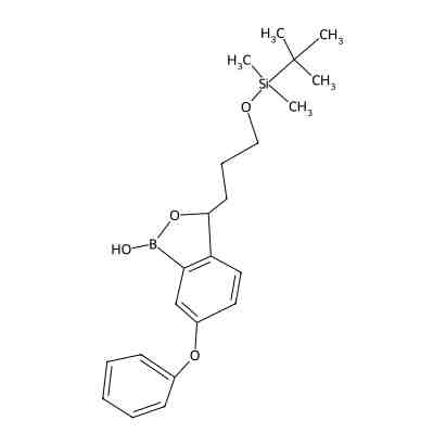 CC(C)(C)[Si](C)(C)OCCCC1OB(O)c2cc(Oc3ccccc3)ccc21